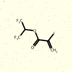 C=C(I)C(=O)OC(C(F)(F)F)C(F)(F)F